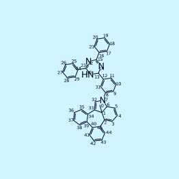 CC12C3=CC=CC1N(c1cccc(C4N=C(c5ccccc5)N=C(c5ccccc5)N4)c1)C=C2c1ccccc1-c1ccccc13